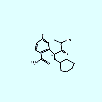 Cc1ccc(C(N)=O)c([C@H](CC2CCCCC2)C(=O)N(C)C#N)c1